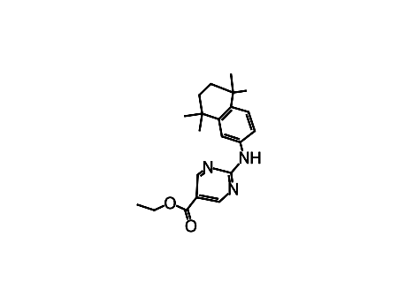 CCOC(=O)c1cnc(Nc2ccc3c(c2)C(C)(C)CCC3(C)C)nc1